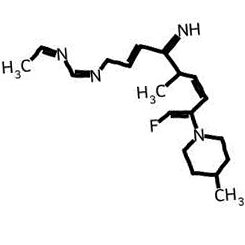 C/C=N\C=N/C/C=C/C(=N)C(C)/C=C\C(=C\F)N1CCC(C)CC1